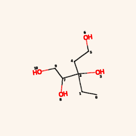 CCC(O)(CCO)C(O)CO